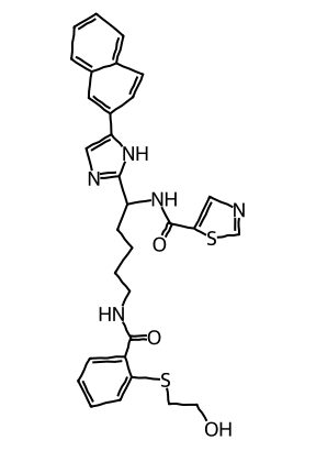 O=C(NC(CCCCNC(=O)c1ccccc1SCCO)c1ncc(-c2ccc3ccccc3c2)[nH]1)c1cncs1